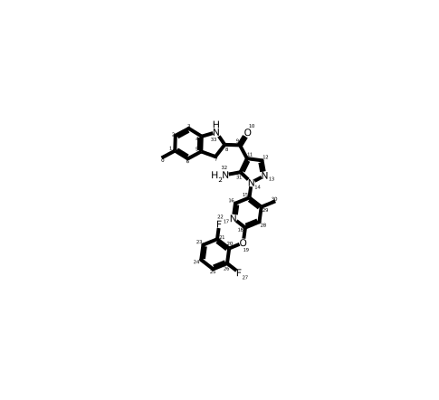 Cc1ccc2c(c1)CC(C(=O)c1cnn(-c3cnc(Oc4c(F)cccc4F)cc3C)c1N)N2